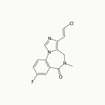 CN1Cc2c(C=CCl)ncn2-c2ccc(F)cc2C1=O